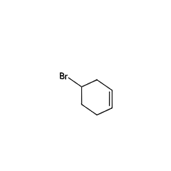 BrC1CC=CCC1